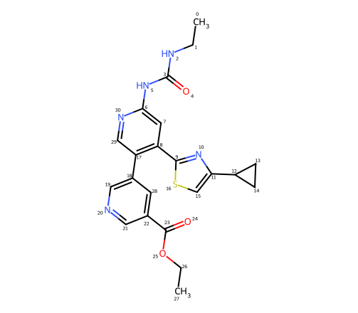 CCNC(=O)Nc1cc(-c2nc(C3CC3)cs2)c(-c2cncc(C(=O)OCC)c2)cn1